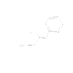 COCC(O)Cc1ccccc1